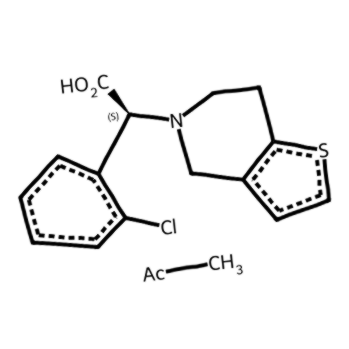 CC(C)=O.O=C(O)[C@H](c1ccccc1Cl)N1CCc2sccc2C1